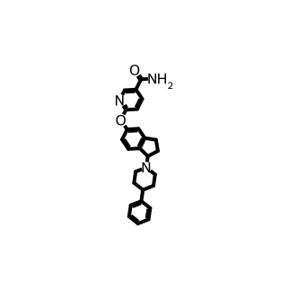 NC(=O)c1ccc(Oc2ccc3c(c2)CCC3N2CCC(c3ccccc3)CC2)nc1